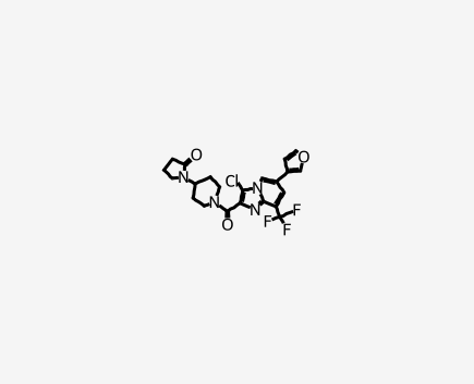 O=C(c1nc2c(C(F)(F)F)cc(-c3ccoc3)cn2c1Cl)N1CCC(N2CCCC2=O)CC1